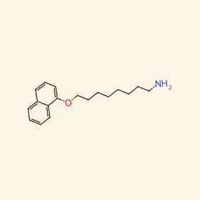 NCCCCCCCCOc1cccc2ccccc12